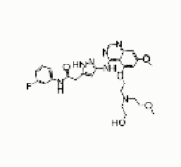 COCCN(CCO)CCOc1cc(OC)cc2ncnc(Nc3cc(CC(=O)Nc4cccc(F)c4)[nH]n3)c12